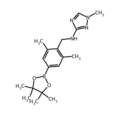 Cc1cc(B2OC(C)(C)C(C)(C)O2)cc(C)c1CNc1ncn(C)n1